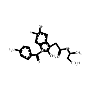 Cc1c(CC(=O)NC(C)CC(=O)O)c2cc(O)c(F)cc2n1C(=O)c1ccc(C(F)(F)F)cc1